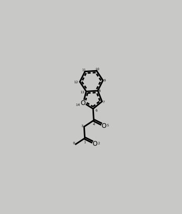 CC(=O)CC(=O)c1cc2ccccc2o1